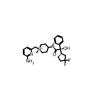 C[N+]1(Cc2cccc(N)n2)CCC(N(I)C(=O)[C@](O)(c2ccccc2)[C@@H]2CCC(F)(F)C2)CC1